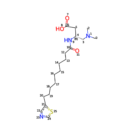 CN(C)C[C@@H](CC(=O)O)NC(=O)CCCCCCCCCc1cncs1